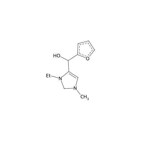 CCN1CN(C)C=C1C(O)c1ccco1